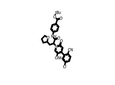 COc1cn(C(CC2CCCO2)C(=O)Nc2ccc(C(=O)OC(C)(C)C)cc2)c(=O)cc1-c1cc(Cl)ccc1C#N